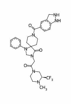 CN1CCN(C(=O)CN2CN(c3ccccc3)C3(CCN(C(=O)c4ccc5c(c4)CNN5)CC3)C2=O)C[C@H]1C(F)(F)F